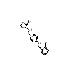 O=C1CCCN1NCc1ccc(OCc2ccccc2F)cc1